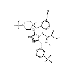 COC(=O)C1=C(C)N(c2cccc(C(F)(F)F)c2)c2n[nH]c(=O)n2[C@@H]1c1ccc(C#N)cc1C[N+]1(C)CCN(S(C)(=O)=O)CC1